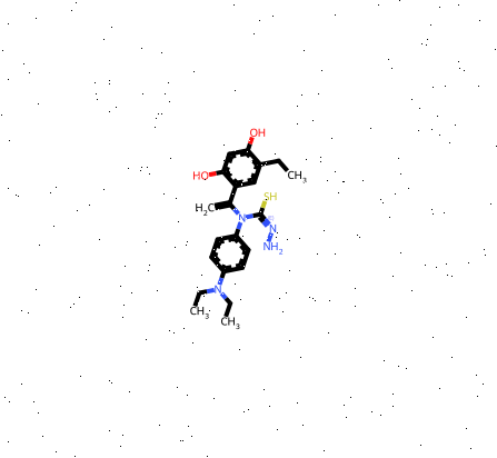 C=C(c1cc(CC)c(O)cc1O)N(/C(S)=N\N)c1ccc(N(CC)CC)cc1